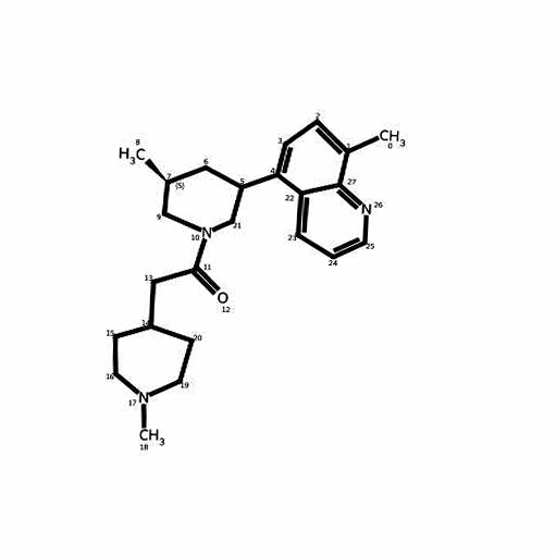 Cc1ccc(C2C[C@H](C)CN(C(=O)CC3CCN(C)CC3)C2)c2cccnc12